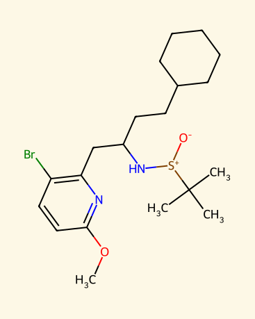 COc1ccc(Br)c(CC(CCC2CCCCC2)N[S+]([O-])C(C)(C)C)n1